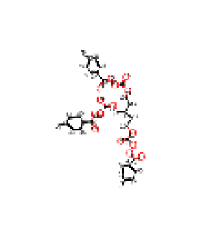 Cc1ccc(C(=O)OOC(=O)OCCC(CCOC(=O)OOC(=O)c2ccc(C)cc2)COC(=O)OOC(=O)c2ccc(C)cc2)cc1